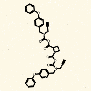 C#CCN(Cc1ccc(Oc2ccccc2)cc1)C(=O)OC(=O)C1CCC1C(=O)OC(=O)N(CC#C)Cc1ccc(Oc2ccccc2)cc1